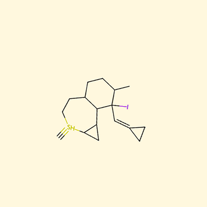 C#[SH]1CCC2CCC(C)C(I)(C=C3CC3)C2C2CC21